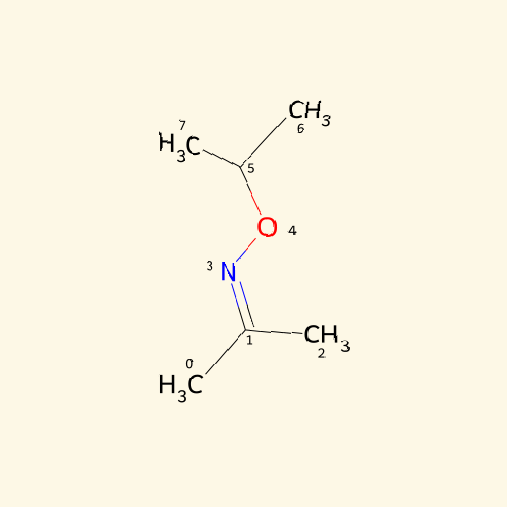 CC(C)=NOC(C)C